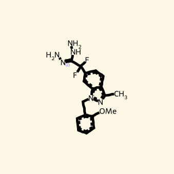 COc1ccccc1Cn1nc(C)c2ccc(C(F)(F)/C(=N/N)NN)cc21